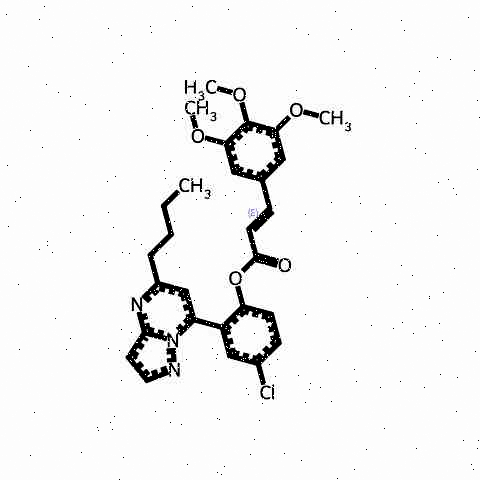 CCCCc1cc(-c2cc(Cl)ccc2OC(=O)/C=C/c2cc(OC)c(OC)c(OC)c2)n2nccc2n1